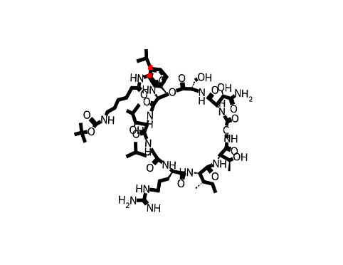 CC[C@H](C)[C@@H]1NC(=O)[C@@H](CCCNC(=N)N)NC(=O)[C@H](CC(C)C)NC(=O)[C@H]([C@H](O)C(C)C)NC(=O)[C@@H](NC(=O)[C@H](CC(C)C)NC(=O)CCCCCNC(=O)OC(C)(C)C)[C@@H](c2ccccc2)OC(=O)[C@H](CO)NC(=O)[C@H]([C@H](O)C(N)=O)NC(=O)CNC(=O)[C@H]([C@H](C)O)NC1=O